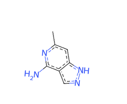 Cc1cc2[nH]ncc2c(N)n1